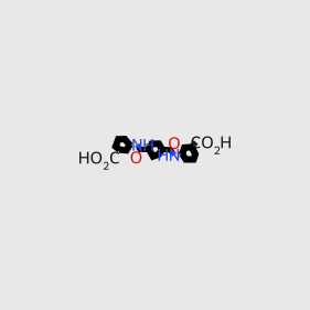 O=C(O)c1cccc(NC(=O)c2ccc(C(=O)Nc3cccc(C(=O)O)c3)cc2)c1